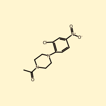 CC(=O)N1CCN(c2ccc([N+](=O)[O-])cc2Cl)CC1